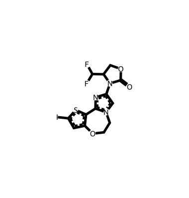 O=C1OCC(C(F)F)N1c1cn2c(n1)-c1sc(I)cc1OCC2